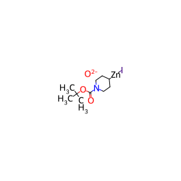 CC(C)(C)OC(=O)N1CC[CH]([Zn][I])CC1.[O-2]